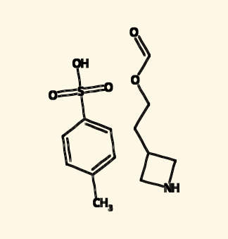 Cc1ccc(S(=O)(=O)O)cc1.O=COCCC1CNC1